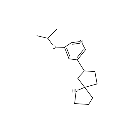 CC(C)Oc1cncc(C2CCC3(CCCN3)C2)c1